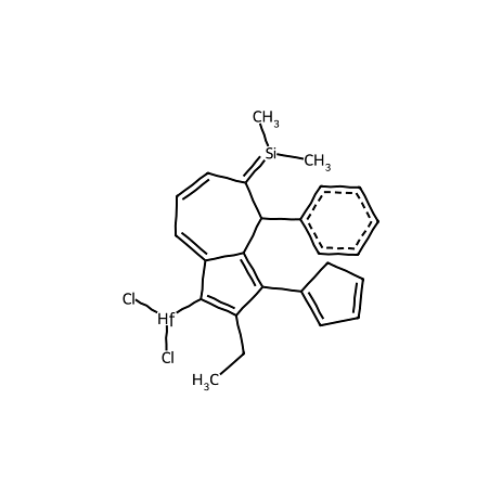 CCC1=[C]([Hf]([Cl])[Cl])C2=CC=CC(=[Si](C)C)C(c3ccccc3)C2=C1C1=CC=CC1